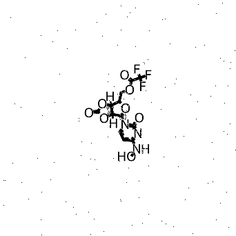 O=C1O[C@@H]2[C@H](O1)C(COC(=O)C(F)(F)F)O[C@H]2n1ccc(NO)nc1=O